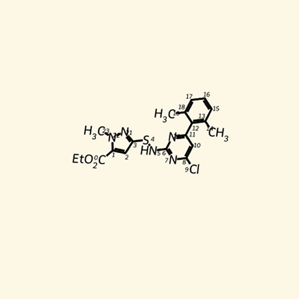 CCOC(=O)c1cc(SNc2nc(Cl)cc(-c3c(C)cccc3C)n2)nn1C